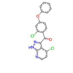 O=C(c1ccc(Oc2ccccc2)cc1Cl)c1n[nH]c2nccc(Cl)c12